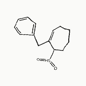 O=[SH](=O)C1CCCCC=C1Cc1ccccc1